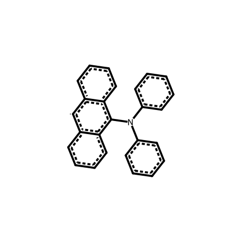 [c]1c2ccccc2c(N(c2ccccc2)c2ccccc2)c2ccccc12